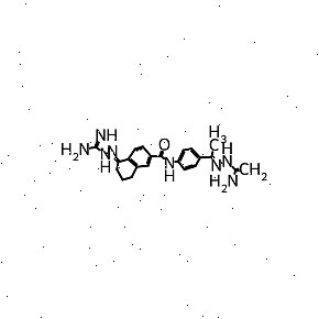 C=C(N)N/N=C(\C)c1ccc(NC(=O)c2ccc3c(c2)CCC/C3=N\NC(=N)N)cc1